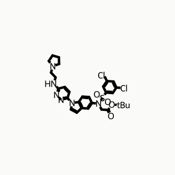 CC(C)(C)OC(=O)CN(c1ccc2c(ccn2-c2ccc(NCCN3CCCC3)nn2)c1)S(=O)(=O)c1cc(Cl)cc(Cl)c1